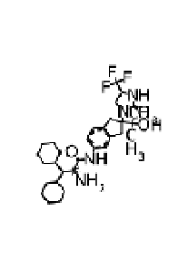 CC(C)(O)C1(N2CC(C(F)(F)F)NC2=O)Cc2ccc(NC(=O)[C@@H](N)C(C3CCCCC3)C3CCCCC3)cc2C1